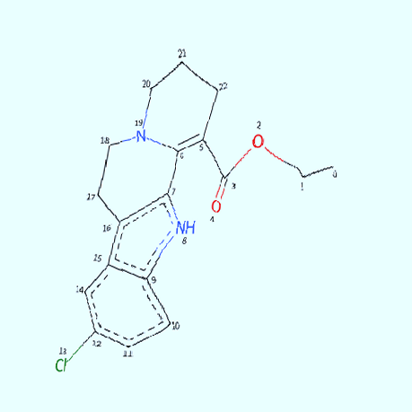 CCOC(=O)C1=C2c3[nH]c4ccc(Cl)cc4c3CCN2CCC1